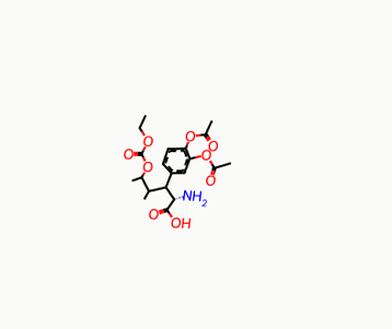 CCOC(=O)OC(C)C(C)C(c1ccc(OC(C)=O)c(OC(C)=O)c1)[C@H](N)C(=O)O